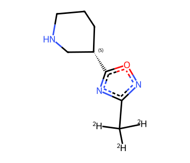 [2H]C([2H])([2H])c1noc([C@H]2CCCNC2)n1